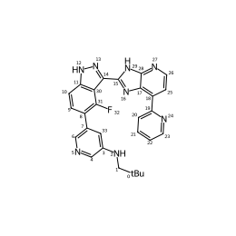 CC(C)(C)CNc1cncc(-c2ccc3[nH]nc(-c4nc5c(-c6ccccn6)ccnc5[nH]4)c3c2F)c1